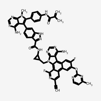 C#Cc1cc2c3cc(Oc4nccc(C)n4)c(F)cc3c3c4c(N)ncnc4n(CC4CC4NC(=O)c4n[nH]c5cc(-c6c(-c7ccc(NC(=O)C(=C)C)cc7)n(C)c7ncnc(N)c67)ccc45)c3c2c(F)n1